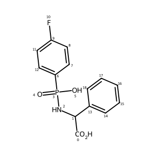 O=C(O)C(NP(=O)(O)c1ccc(F)cc1)c1ccccc1